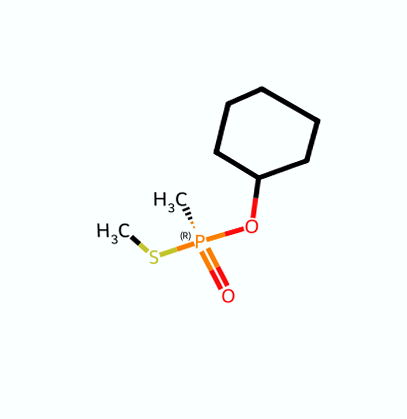 CS[P@](C)(=O)OC1CCCCC1